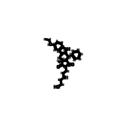 CCOc1ccc2[nH]c3c(c2c1)C[C@@]1(C)C(=O)N(CCNCCO)C(=O)N1[C@@H]3c1ccccc1